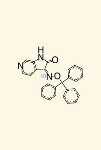 O=C1Nc2cnccc2/C1=N/OC(c1ccccc1)(c1ccccc1)c1ccccc1